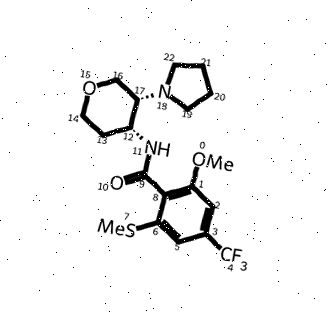 COc1cc(C(F)(F)F)cc(SC)c1C(=O)N[C@@H]1CCOC[C@@H]1N1CCCC1